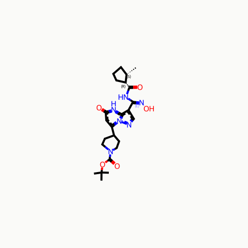 C[C@H]1CCC[C@H]1C(=O)N/C(=N/O)c1cnn2c(C3CCN(C(=O)OC(C)(C)C)CC3)cc(=O)[nH]c12